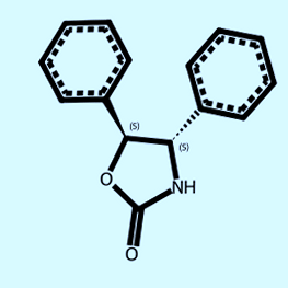 O=C1N[C@@H](c2ccccc2)[C@H](c2ccccc2)O1